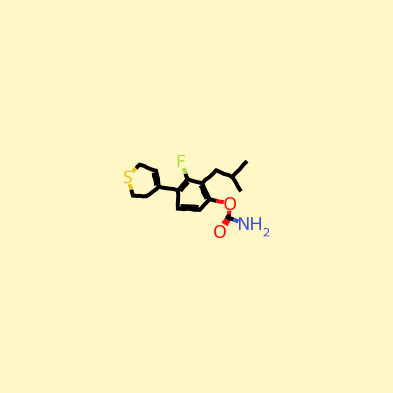 CC(C)Cc1c(OC(N)=O)ccc(C2=CCSCC2)c1F